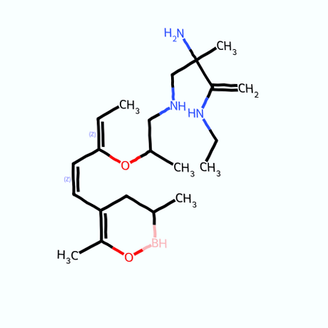 C=C(NCC)C(C)(N)CNCC(C)OC(/C=C\C1=C(C)OBC(C)C1)=C\C